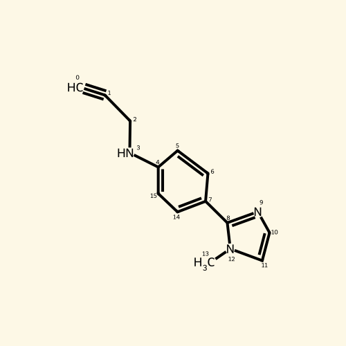 C#CCNc1ccc(-c2nccn2C)cc1